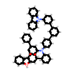 c1ccc(-c2cccc(N(c3ccc(-c4cccc(-c5cccc(-n6c7ccccc7c7ccccc76)c5)c4)cc3)c3ccccc3-c3ccc4c(c3)oc3ccccc34)c2)cc1